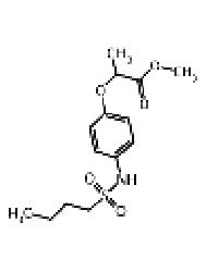 CCCCS(=O)(=O)Nc1ccc(OC(C)C(=O)OC)cc1